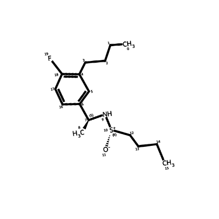 CCCCc1cc([C@H](C)N[S@@+]([O-])CCCC)ccc1F